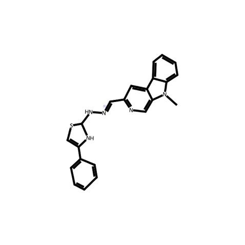 Cn1c2ccccc2c2cc(/C=N/NC3NC(c4ccccc4)=CS3)ncc21